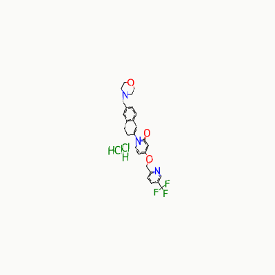 Cl.Cl.O=c1cc(OCc2ccc(C(F)(F)F)cn2)ccn1C1=Cc2ccc(CN3CCOCC3)cc2CC1